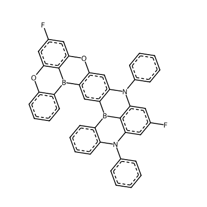 Fc1cc2c3c(c1)Oc1cc4c(cc1B3c1ccccc1O2)B1c2ccccc2N(c2ccccc2)c2cc(F)cc(c21)N4c1ccccc1